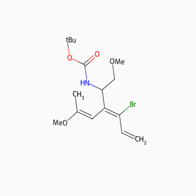 C=C/C(Br)=C(\C=C(/C)OC)C(COC)NC(=O)OC(C)(C)C